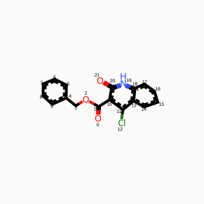 O=C(OCc1ccccc1)c1c(Cl)c2ccccc2[nH]c1=O